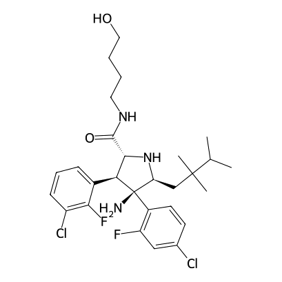 CC(C)C(C)(C)C[C@@H]1N[C@@H](C(=O)NCCCCO)[C@H](c2cccc(Cl)c2F)[C@@]1(N)c1ccc(Cl)cc1F